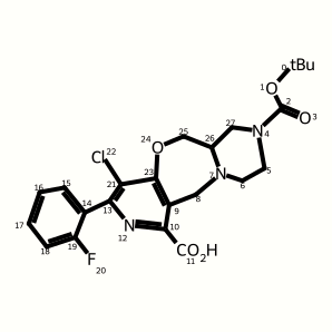 CC(C)(C)OC(=O)N1CCN2Cc3c(C(=O)O)nc(-c4ccccc4F)c(Cl)c3OCC2C1